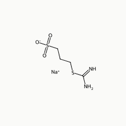 N=C(N)SCCCS(=O)(=O)[O-].[Na+]